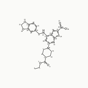 CCOC(=O)C1CCN(c2nc(NCc3ccc4c(c3)OCO4)c3cc([N+](=O)[O-])sc3n2)CC1